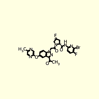 CC(=O)c1nn(CC(=O)N2C[C@H](F)C[C@H]2C(=O)Nc2ccc(F)c(Br)n2)c2ccc(Oc3cnc(C)cn3)cc12